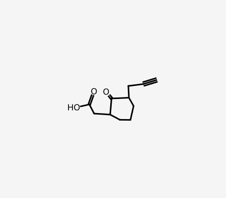 C#CCC1CCCC(CC(=O)O)C1=O